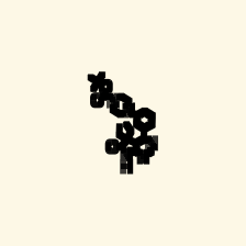 CCC1(CC)C(=O)Nc2ncnc(-c3cccc(N4CCN(C(=O)OC(C)(C)C)CC4)c3)c21